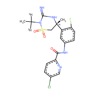 [2H]C([2H])(C)N1C(=N)N[C@](C)(c2cc(NC(=O)c3ccc(Cl)cn3)ccc2F)CS1(=O)=O